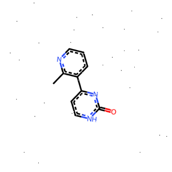 Cc1ncccc1-c1cc[nH]c(=O)n1